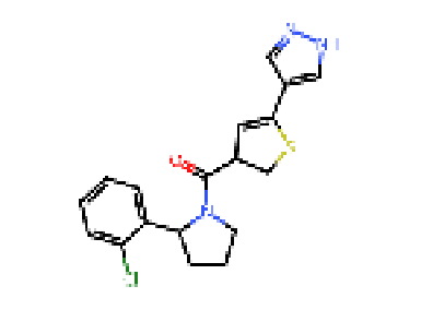 O=C(C1C=C(c2cn[nH]c2)SC1)N1CCCC1c1ccccc1Cl